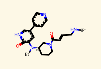 CCN(c1cc(-c2ccncc2)c[nH]c1=O)[C@@H]1CCCN(C(=O)C=CCNC(C)C)C1